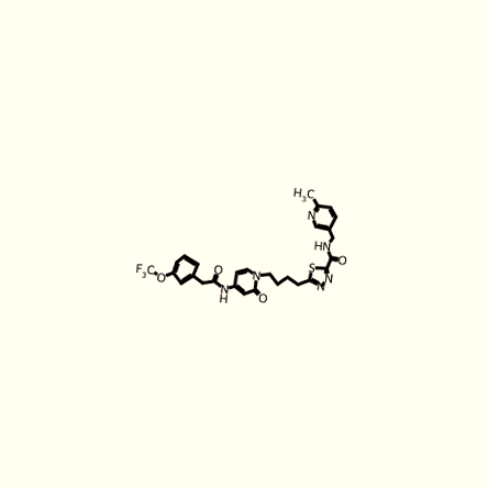 Cc1ccc(CNC(=O)c2nnc(CCCCn3ccc(NC(=O)Cc4cccc(OC(F)(F)F)c4)cc3=O)s2)cn1